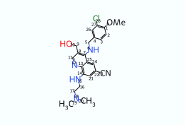 COc1ccc(CNc2c(CO)cnc3c(NCCN(C)C)cc(C#N)cc23)cc1Cl